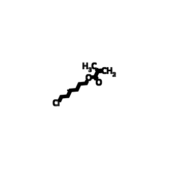 C=C(C)C(=O)OCCC[CH]CCCl